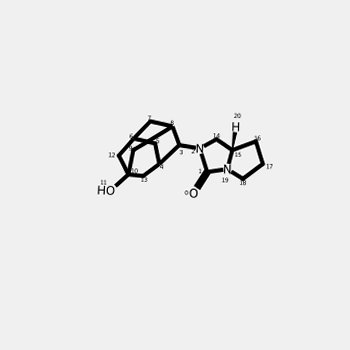 O=C1N(C2C3CC4CC2CC(O)(C4)C3)C[C@@H]2CCCN12